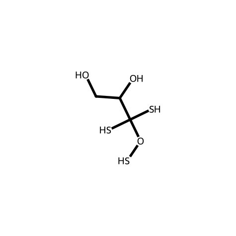 OCC(O)C(S)(S)OS